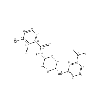 CN(C)c1ccnc(N[C@H]2CC[C@@H](NC(=O)c3cccc(Cl)c3F)CC2)n1